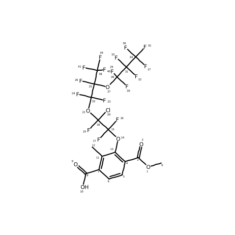 COC(=O)c1ccc(C(=O)O)c(C)c1OC(F)(F)C(F)(Cl)OC(F)(F)C(F)(OC(F)(F)C(F)(F)C(F)(F)F)C(F)(F)F